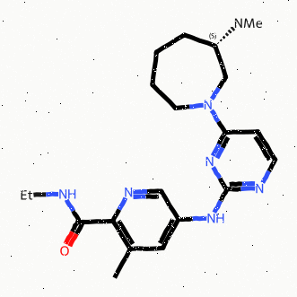 CCNC(=O)c1ncc(Nc2nccc(N3CCCC[C@H](NC)C3)n2)cc1C